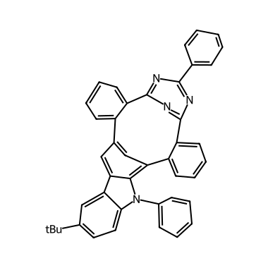 CC(C)(C)c1ccc2c(c1)c1cc3cc(c4ccccc4c4nc(-c5ccccc5)nc(n4)c4ccccc34)c1n2-c1ccccc1